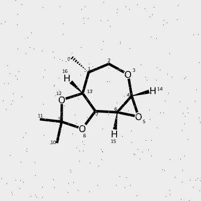 C[C@@H]1CO[C@@H]2O[C@@H]2C2OC(C)(C)O[C@@H]21